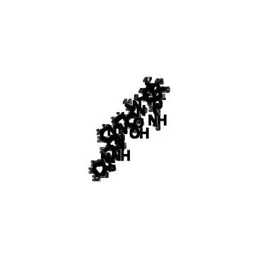 CNCCOC12CC3(Cn4ncc(-c5ccc(N6CCCc7c6nnc(Nc6nc8ccccc8s6)c7C)nc5C(=O)O)c4C)CC4(C)CC(C)(C1)C42C3